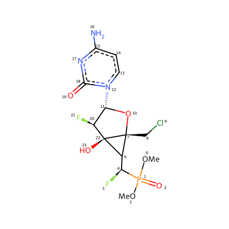 COP(=O)(OC)[C@@H](F)C1[C@@]2(CCl)O[C@@H](n3ccc(N)nc3=O)[C@H](F)[C@@]12O